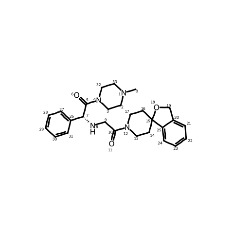 CN1CCN(C(=O)[C@H](NCC(=O)N2CCC3(CC2)OCc2ccccc23)c2ccccc2)CC1